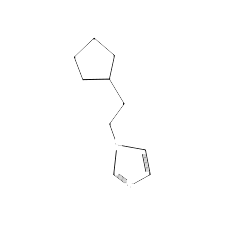 [c]1cn(CCC2CCCC2)cn1